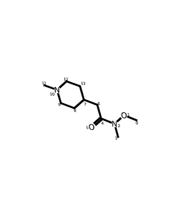 CON(C)C(=O)CC1CCN(C)CC1